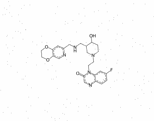 O=c1cnc2ccc(F)cc2n1CCN1CCC(O)C(CNCc2cc3c(cn2)OCCO3)C1